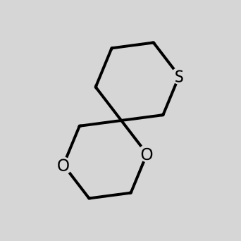 C1CSCC2(C1)COCCO2